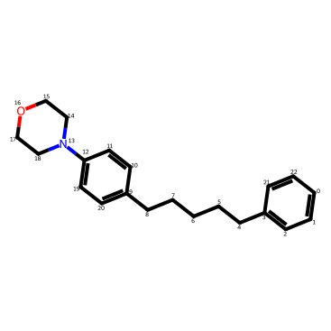 c1ccc(CCCCCc2ccc(N3CCOCC3)cc2)cc1